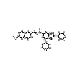 COc1ccc2cc(/C=N/Nc3cc(N4CCOCC4)n4nc(-c5ccncc5)nc4n3)ccc2c1